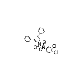 O=c1on(-c2ccc(Cl)c(Cl)c2)c(=O)n1C(C=Cc1ccccc1)C=Cc1ccccc1